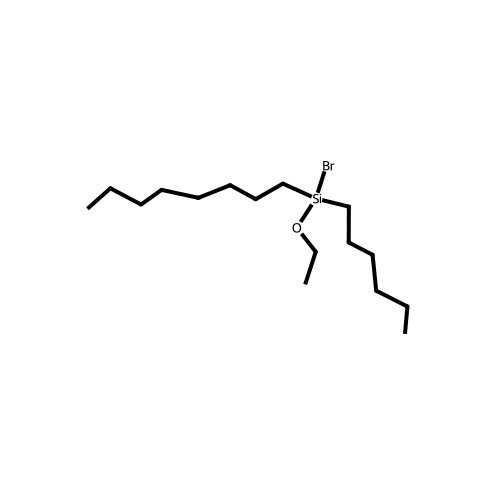 CCCCCCCC[Si](Br)(CCCCCC)OCC